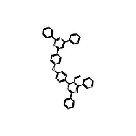 C=CC1C(c2ccccc2)=NC(c2ccccc2)=NC1c1ccc(Oc2ccc(-c3cc(-c4ccccc4)nc(-c4ccccc4)n3)cc2)cc1